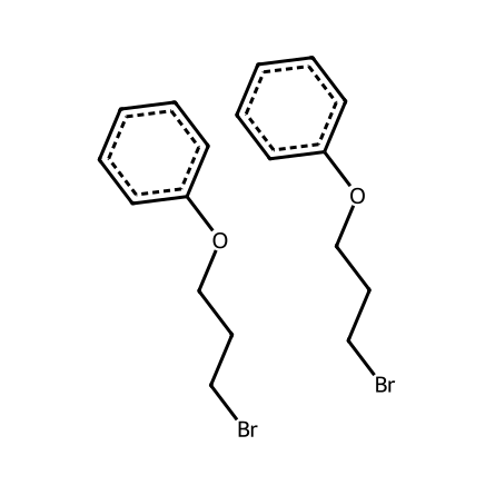 BrCCCOc1ccccc1.BrCCCOc1ccccc1